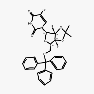 CC1(C)O[C@@H]2[C@H](O1)[C@@H](COC(c1ccccc1)(c1ccccc1)c1ccccc1)O[C@H]2n1cc(Br)c(=O)[nH]c1=O